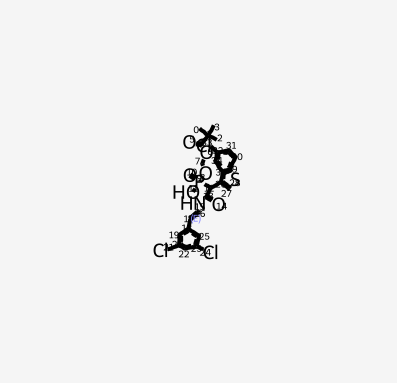 CC(C)(C)C(=O)OCOP(=O)(O)C(C(=O)N/C=C/c1cc(Cl)cc(Cl)c1)c1csc2ccc(Cl)cc12